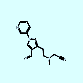 CN(CC#N)CCc1nn(-c2cccnc2)cc1C=O